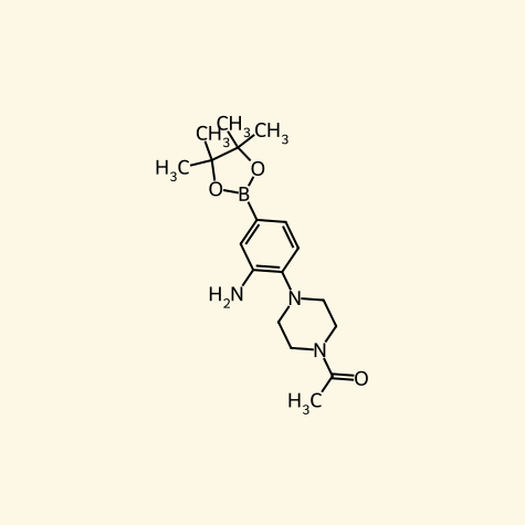 CC(=O)N1CCN(c2ccc(B3OC(C)(C)C(C)(C)O3)cc2N)CC1